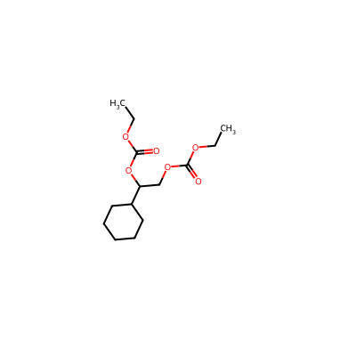 CCOC(=O)OCC(OC(=O)OCC)C1CCCCC1